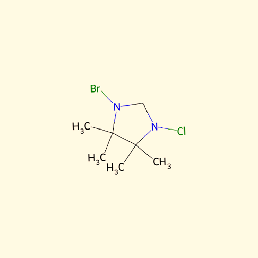 CC1(C)N(Cl)CN(Br)C1(C)C